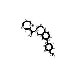 O=C(C1=CN=CCCN1)N1CCOc2ccc(-c3ccc(C(F)(F)F)cc3)cc2C1